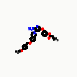 C=CC(=O)Oc1cccc(Oc2cnc(N)c(N3CCc4cc(OCc5ccc(OC)cc5)ccc4C3)c2)c1